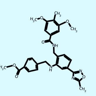 COC(=O)c1ccc(CNc2cc(-c3noc(C)n3)ccc2CNC(=O)c2cc(OC)c(C)c(OC)c2)cc1